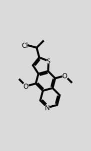 COc1c2cnccc2c(OC)c2sc(C(C)Cl)cc12